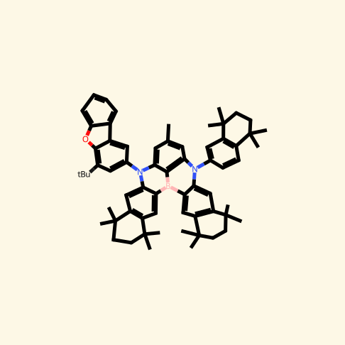 Cc1cc2c3c(c1)N(c1cc(C(C)(C)C)c4oc5ccccc5c4c1)c1cc4c(cc1B3c1cc3c(cc1N2c1ccc2c(c1)C(C)(C)CCC2(C)C)C(C)(C)CCC3(C)C)C(C)(C)CCC4(C)C